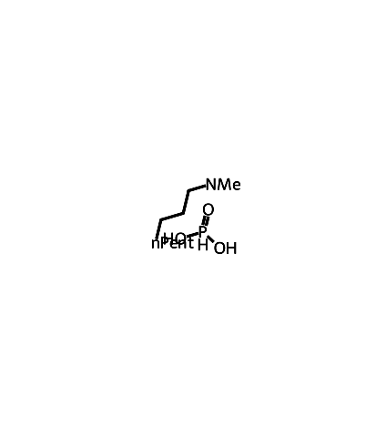 CCCCCCCCNC.O=[PH](O)O